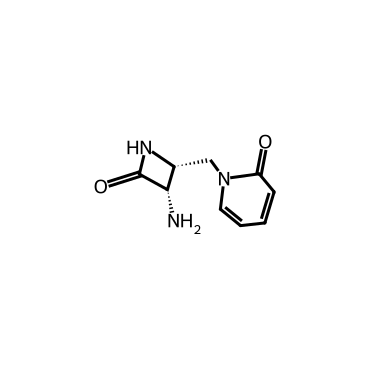 N[C@@H]1C(=O)N[C@@H]1Cn1ccccc1=O